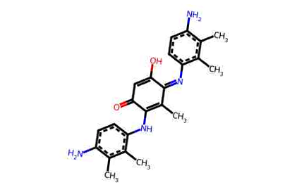 CC1=C(Nc2ccc(N)c(C)c2C)C(=O)C=C(O)C1=Nc1ccc(N)c(C)c1C